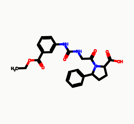 CCOC(=O)c1cccc(NC(=O)NCC(=O)N2C(C(=O)O)CCC2c2ccccc2)c1